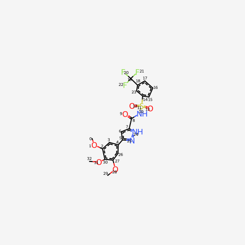 COc1cc(-c2cc(C(=O)NS(=O)(=O)c3cccc(C(F)(F)F)c3)[nH]n2)cc(OC)c1OC